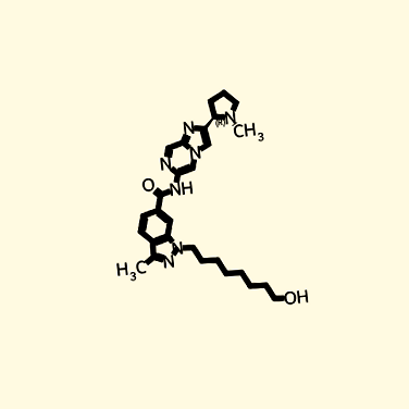 Cc1nn(CCCCCCCCO)c2cc(C(=O)Nc3cn4cc([C@H]5CCCN5C)nc4cn3)ccc12